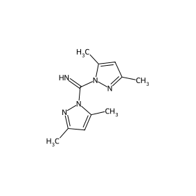 Cc1cc(C)n(C(=N)n2nc(C)cc2C)n1